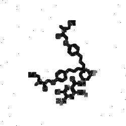 CN(CC#N)C(=O)COc1ccc(CCC[N+]2(CCCc3ccc(OCC(=O)N(C)CC#N)cc3)CCC[C@H](NC(=O)c3nc(Cl)c(N)nc3N)C2)cc1.[Cl-]